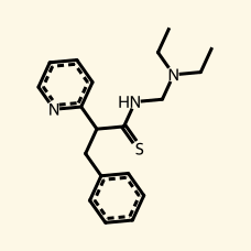 CCN(CC)CNC(=S)C(Cc1ccccc1)c1ccccn1